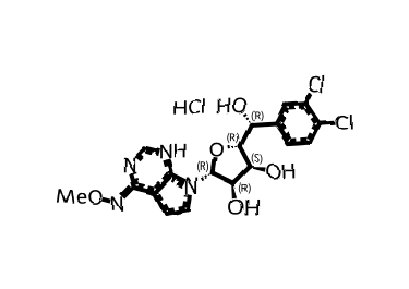 CON=c1nc[nH]c2c1ccn2[C@@H]1O[C@H]([C@H](O)c2ccc(Cl)c(Cl)c2)[C@@H](O)[C@H]1O.Cl